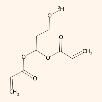 [2H]OCCC(OC(=O)C=C)OC(=O)C=C